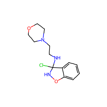 ClC1(NCCN2CCOCC2)NOc2ccccc21